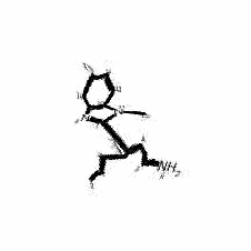 C=C/C=C(\CCN)c1nc2c(n1C)C=CCC2